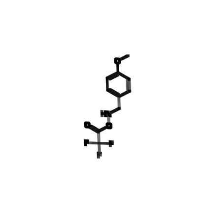 COc1ccc(CNOC(=O)C(F)(F)F)cc1